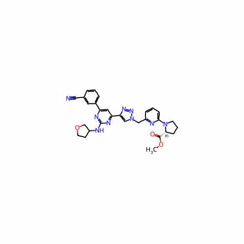 COC(=O)[C@H]1CCCN1c1cccc(Cn2cc(-c3cc(-c4cccc(C#N)c4)nc(NC4CCOC4)n3)nn2)n1